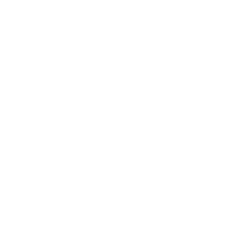 CCc1ccsc1-c1cc(CC)c(-c2ccc(-c3ccc(-c4ccc(-c5ccc(-c6sc(-c7sc(C)cc7CC)cc6CC)s5)s4)s3)s2)s1